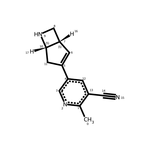 Cc1ncc(C2=C[C@H]3CN[C@H]3C2)cc1C#N